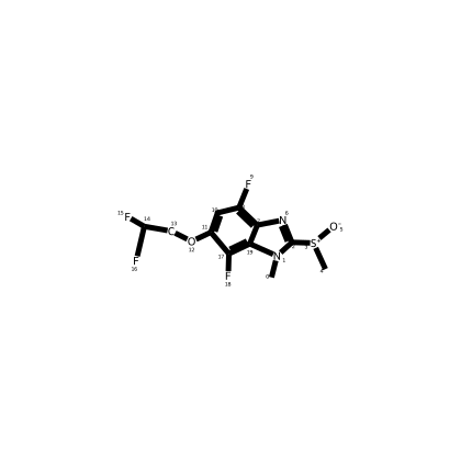 Cn1c([S+](C)[O-])nc2c(F)cc(OCC(F)F)c(F)c21